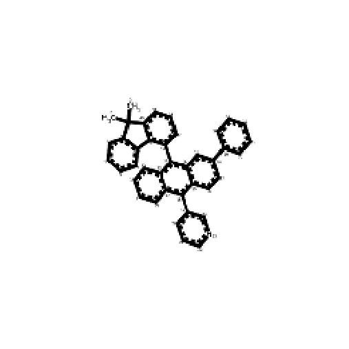 CC1(C)c2ccccc2-c2c(-c3c4ccccc4c(-c4cccnc4)c4ccc(-c5ccccc5)cc34)cccc21